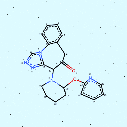 O=C1Cc2ccccc2-n2cnnc2C1N1CCCCC1Oc1ccccn1